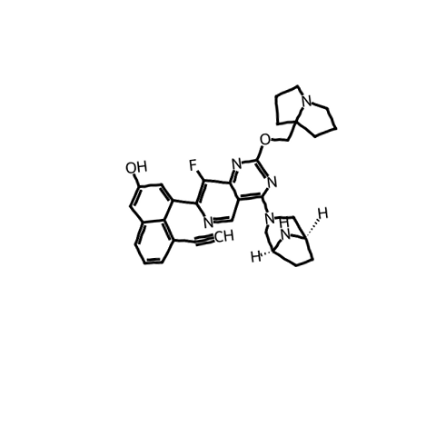 C#Cc1cccc2cc(O)cc(-c3ncc4c(N5C[C@H]6CC[C@@H](C5)N6)nc(OCC56CCCN5CCC6)nc4c3F)c12